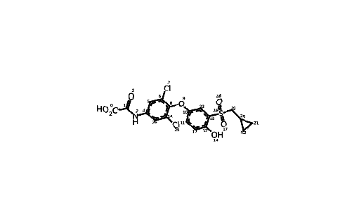 O=C(O)C(=O)Nc1cc(Cl)c(Oc2ccc(O)c(S(=O)(=O)CC3CC3)c2)c(Cl)c1